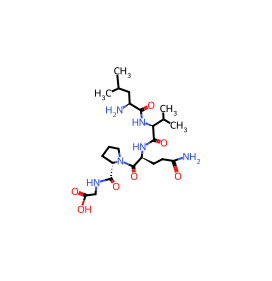 CC(C)C[C@H](N)C(=O)N[C@H](C(=O)N[C@@H](CCC(N)=O)C(=O)N1CCC[C@H]1C(=O)NCC(=O)O)C(C)C